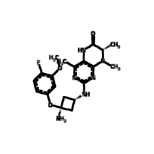 COc1cc(O[C@]2(N)C[C@@H](Nc3nc(C)c4c(n3)N(C)[C@@H](C)C(=O)N4)C2)ccc1F